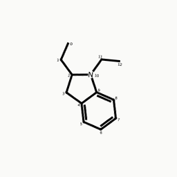 CCC1Cc2ccccc2N1CC